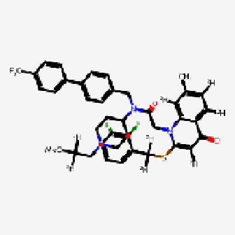 [2H]c1c(C)c([2H])c2c(c1[2H])c(=O)c([2H])c(SC([2H])([2H])c1cccc(F)c1F)n2CC(=O)N(Cc1ccc(-c2ccc(C(F)(F)F)cc2)cc1)C1CCN(CC([2H])([2H])OC)CC1